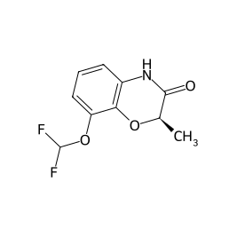 C[C@H]1Oc2c(cccc2OC(F)F)NC1=O